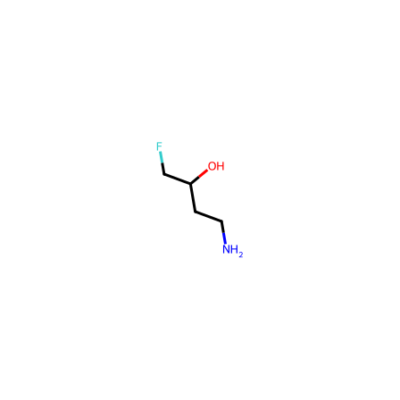 NCCC(O)CF